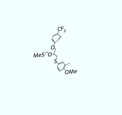 COc1ccc(SCC(COc2ccc(C(F)(F)F)cc2)OCSC)cc1C